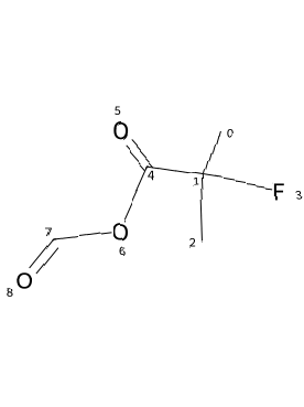 CC(C)(F)C(=O)OC=O